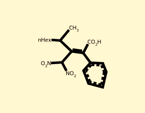 CCCCCCC(C)C(=C(C(=O)O)c1ccccc1)C([N+](=O)[O-])[N+](=O)[O-]